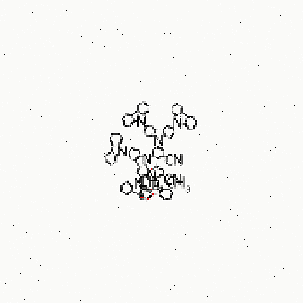 Cc1cccc2c1B(c1ncc(-c3c(C#N)cc(-n4c5ccc(-n6c7ccccc7c7ccccc76)cc5c5cc(-n6c7ccccc7c7ccccc76)ccc54)cc3-n3c4ccc(-n5c6ccccc6c6ccccc65)cc4c4cc(-n5c6ccccc6c6ccccc65)ccc43)cc1C#N)c1c(C)cccc1-2